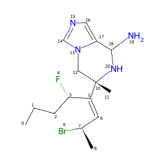 CCC[C@H](F)/C(=C\[C@@H](C)Br)[C@]1(C)Cn2cncc2C(N)N1